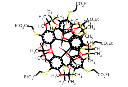 CCOC(=O)CSc1c2c(c(C(OC(c3c4c(c(SCC(=O)OCC)c5c3OC(C)(C)O5)OC(C)(C)O4)(c3c4c(c(SCC(=O)OCC)c5c3OC(C)(C)O5)OC(C)(C)O4)c3c4c(c(SCC(=O)OCC)c5c3SC(C)(C)S5)SC(C)(C)S4)(c3c4c(c(SCC(=O)OCC)c5c3OC(C)(C)O5)OC(C)(C)O4)c3c4c(c(SCC(=O)OCC)c5c3SC(C)(C)S5)SC(C)(C)S4)c3c1OC(C)(C)O3)OC(C)(C)O2